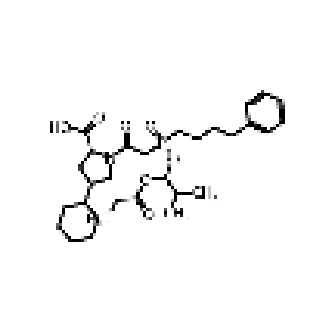 CCC(=O)OC(OP(=O)(CCCCc1ccccc1)CC(=O)N1CC(C2CCCCC2)C[C@H]1C(=O)O)C(C)C